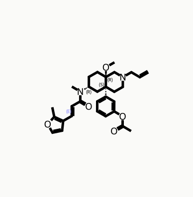 C=CCN1CC[C@@]2(c3cccc(OC(C)=O)c3)C[C@H](N(C)C(=O)/C=C/c3ccoc3C)CC[C@]2(OC)C1